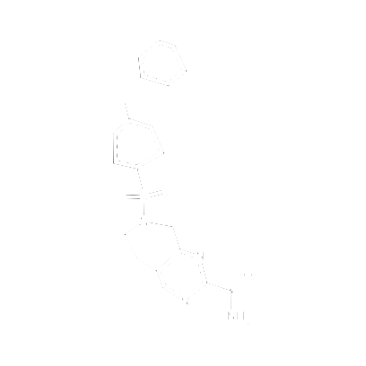 NC(=O)c1n[c]c2c(n1)CN(S(=O)(=O)c1ccc(Oc3ccccc3)cc1)CC2